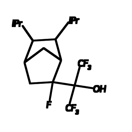 CC(C)C1C2CC(C1C(C)C)C(F)(C(O)(C(F)(F)F)C(F)(F)F)C2